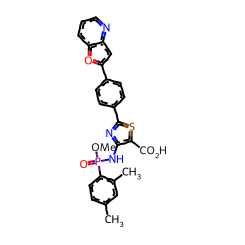 COP(=O)(Nc1nc(-c2ccc(-c3cc4ncccc4o3)cc2)sc1C(=O)O)c1ccc(C)cc1C